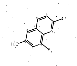 Cc1cc(F)c2nc(I)ccc2c1